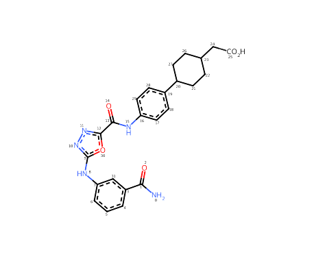 NC(=O)c1cccc(Nc2nnc(C(=O)Nc3ccc(C4CCC(CC(=O)O)CC4)cc3)o2)c1